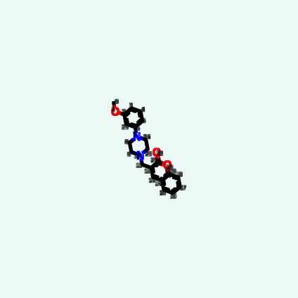 COc1cccc(N2CCN(Cc3cc4ccccc4oc3=O)CC2)c1